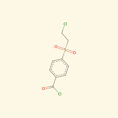 O=C(Cl)c1ccc(S(=O)(=O)CCCl)cc1